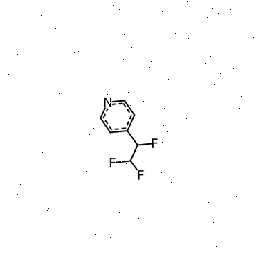 FC(F)C(F)c1ccncc1